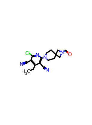 CCc1c(C#N)c(Cl)nc(N2CCC3(CC2)CN(C=O)C3)c1C#N